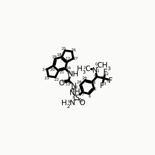 CN(C)C(c1ccc([SH](N)(=O)/N=N/C(=O)Nc2c3c(cc4c2CCC4)CCC3)cc1)C(F)(F)F